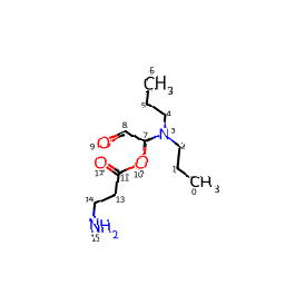 CCCN(CCC)C(C=O)OC(=O)CCN